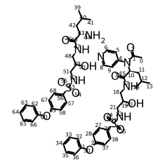 CC(=O)N(c1ccncc1)[C@@H](CC(C)C)C(=O)NCC(O)CNS(=O)(=O)c1ccc(Oc2ccccc2)cc1.CC(C)C[C@H](N)C(=O)NCC(O)CNS(=O)(=O)c1ccc(Oc2ccccc2)cc1